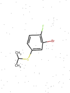 CC(C)Sc1ccc(F)c(Br)c1